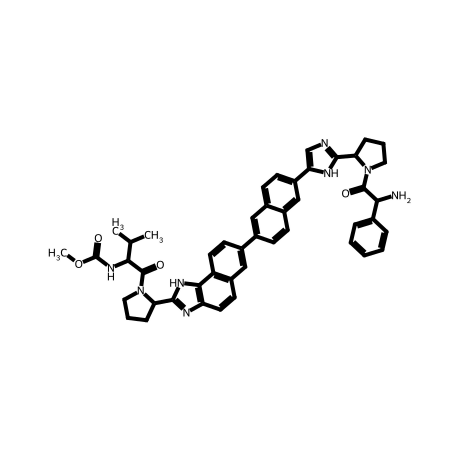 COC(=O)NC(C(=O)N1CCCC1c1nc2ccc3cc(-c4ccc5cc(-c6cnc(C7CCCN7C(=O)C(N)c7ccccc7)[nH]6)ccc5c4)ccc3c2[nH]1)C(C)C